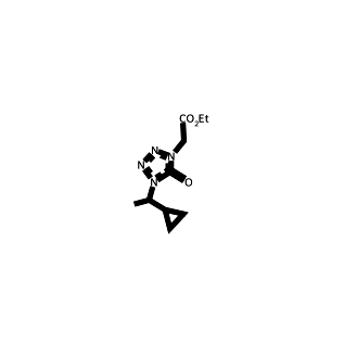 CCOC(=O)Cn1nnn(C(C)C2CC2)c1=O